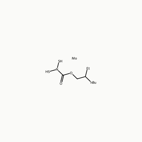 CCCCC(CC)COC(=O)N(S)S.[Mo]